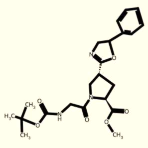 COC(=O)[C@@H]1C[C@@H](C2=NCC(c3ccccc3)O2)CN1C(=O)CNC(=O)OC(C)(C)C